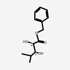 CC(C)[C@H](O)[C@@H](O)C(=O)OCc1ccccc1